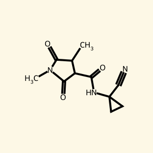 CC1C(=O)N(C)C(=O)C1C(=O)NC1(C#N)CC1